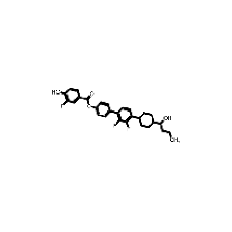 CCCC(O)C1CCC(c2ccc(-c3ccc(OC(=O)c4ccc(O)c(F)c4)cc3)c(F)c2F)CC1